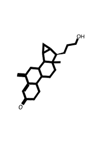 C=C1CC2C(CCC3(C)C2C2CC2[C@H]3CCCO)C2CCC(=O)C=C12